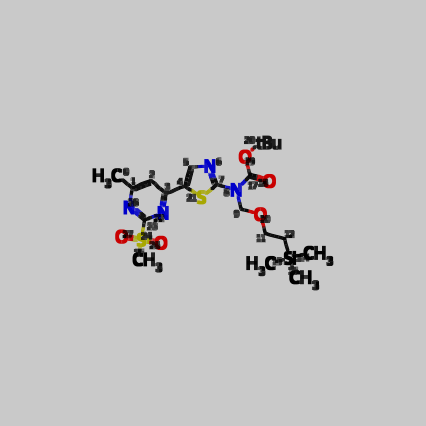 Cc1cc(-c2cnc(N(COCC[Si](C)(C)C)C(=O)OC(C)(C)C)s2)nc(S(C)(=O)=O)n1